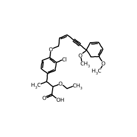 CCOC(C(=O)O)C(C)c1ccc(OC/C=C\C#CC2(OC)C=CC=C(OC)C2)c(Cl)c1